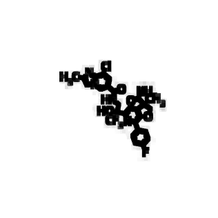 Cc1cn2cc(C(=O)NC[C@](O)(c3cc4c(c(-c5ccc(F)cc5)n3)OC[C@]4(C)C(N)=O)C(F)(F)F)cc(Cl)c2n1